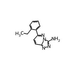 CCc1ccccc1-c1ccc2nnc(N)n2n1